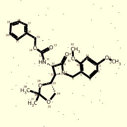 COc1ccc(CN2C(=O)[C@@H](NC(=O)OCc3ccccc3)[C@H]2[C@@H]2COC(C)(C)O2)c(OC)c1